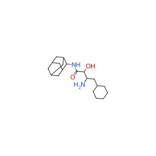 N[C@H](CC1CCCCC1)C(O)C(=O)NC1C2CC3CC(C2)CC1C3